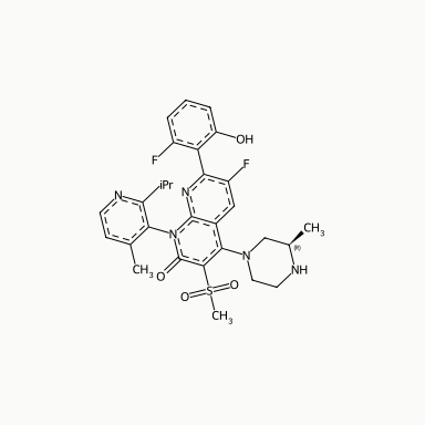 Cc1ccnc(C(C)C)c1-n1c(=O)c(S(C)(=O)=O)c(N2CCN[C@H](C)C2)c2cc(F)c(-c3c(O)cccc3F)nc21